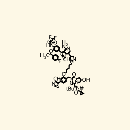 Cc1ncsc1-c1ccc(CNC(=O)[C@@H]2C[C@@H](O)CN2C(=O)[C@@H](NC(=O)C2(F)CC2)C(C)(C)C)c(OCCCCCn2cc(-c3cnc(N)c4c(-c5ccc(NS(=O)(=O)C(F)F)c(O[C@@H](C)c6ccc(F)cc6)c5)nn(C)c34)cn2)c1